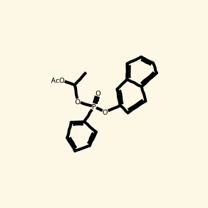 CC(=O)OC(C)OP(=O)(Oc1ccc2ccccc2c1)c1ccccc1